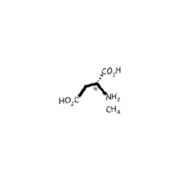 C.N[C@H](CC(=O)O)C(=O)O